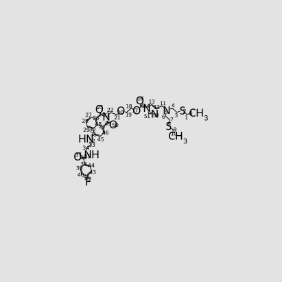 CCSCCN(CCSCC)Cc1cn(C(=O)OCCOCCN2C(=O)c3cccc4c(NCCNC(=O)c5ccc(F)cc5)ccc(c34)C2=O)cn1